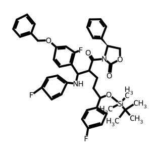 CC(C)(C)[Si](C)(C)OC(CCC(C(=O)N1C(=O)OC[C@@H]1c1ccccc1)C(Nc1ccc(F)cc1)c1ccc(OCc2ccccc2)cc1F)c1ccc(F)cc1